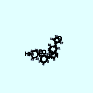 CCOC(=O)[N+]1(c2cccc(-n3cnc4cc(-c5ccoc5)ccc43)c2)CCNCC1